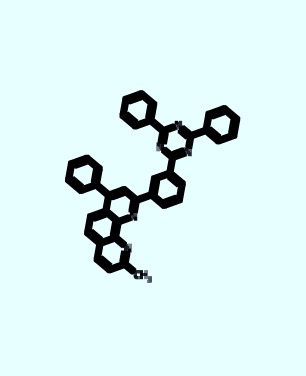 Cc1ccc2ccc3c(-c4ccccc4)cc(-c4cccc(-c5nc(-c6ccccc6)nc(-c6ccccc6)n5)c4)nc3c2n1